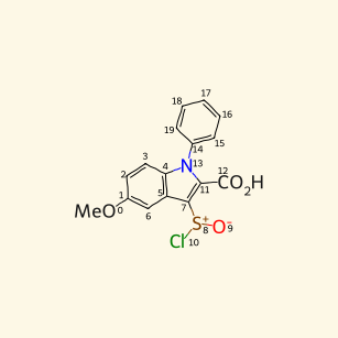 COc1ccc2c(c1)c([S+]([O-])Cl)c(C(=O)O)n2-c1ccccc1